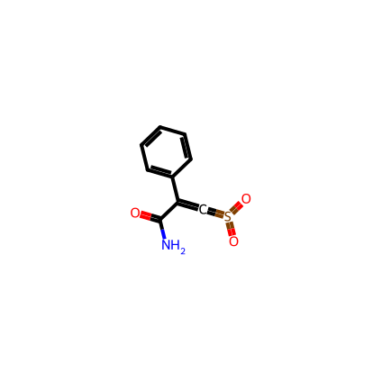 NC(=O)C(=C=S(=O)=O)c1ccccc1